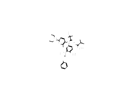 CCN(CC)c1ccc(N(C(=O)C(F)(F)F)c2cc(NCOc3ccccc3)c(O)cc2OC(=N)C(C)C)c(C)n1